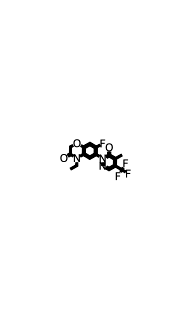 CCN1C(=O)COc2cc(F)c(-n3ncc(C(F)(F)F)c(C)c3=O)cc21